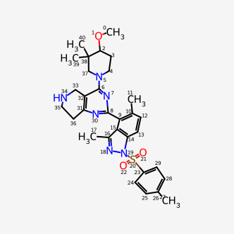 COC1CCN(c2nc(-c3c(C)ccc4c3c(C)nn4S(=O)(=O)c3ccc(C)cc3)nc3c2CNCC3)CC1(C)C